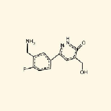 NCc1cc(-c2cc(CO)c(=O)[nH]n2)ccc1F